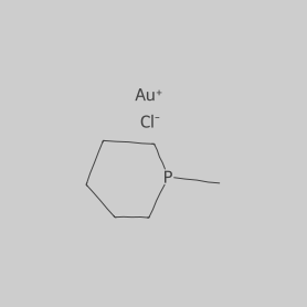 CP1CCCCC1.[Au+].[Cl-]